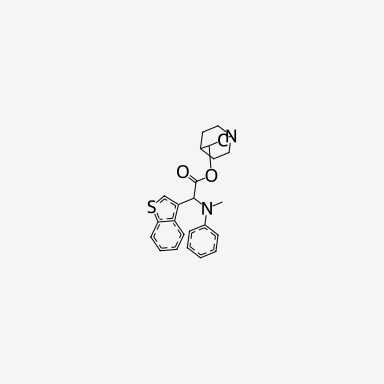 CN(c1ccccc1)C(C(=O)OC1CN2CCC1CC2)c1csc2ccccc12